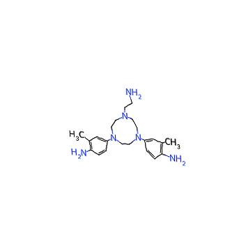 Cc1cc(N2CCN(CCN)CCN(c3ccc(N)c(C)c3)CC2)ccc1N